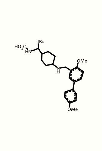 COc1ccc(-c2ccc(OC)c(CNC3CCC(C(NC(=O)O)C(C)(C)C)CC3)c2)cc1